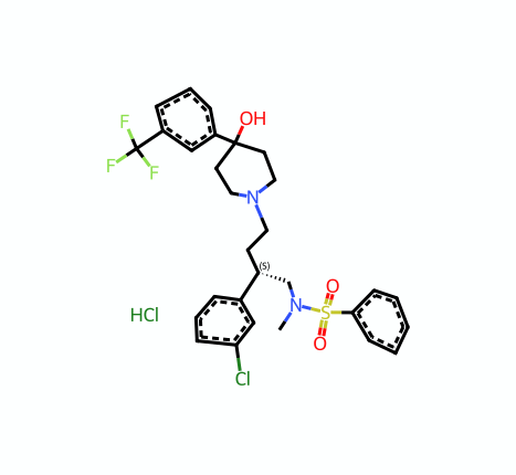 CN(C[C@@H](CCN1CCC(O)(c2cccc(C(F)(F)F)c2)CC1)c1cccc(Cl)c1)S(=O)(=O)c1ccccc1.Cl